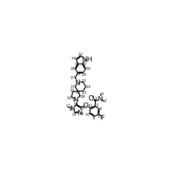 CN(C)C(=O)c1cc(F)ccc1Oc1ncn(C)c1N1CCC2(CCCN(Cc3ccc4[nH]ccc4c3)C2)C1